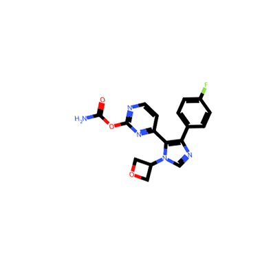 NC(=O)Oc1nccc(-c2c(-c3ccc(F)cc3)ncn2C2COC2)n1